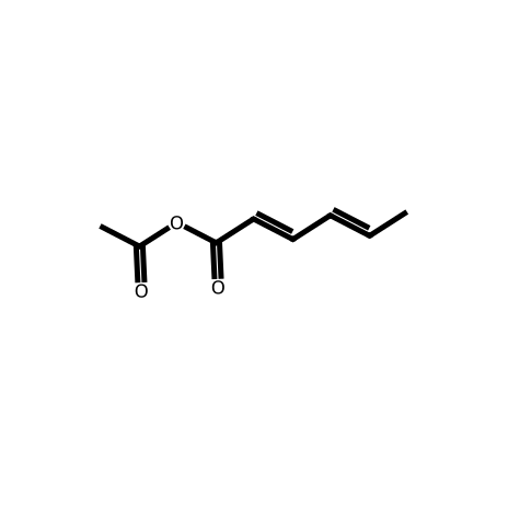 CC=CC=CC(=O)OC(C)=O